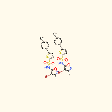 CCc1ccc(-c2ccc(S(=O)(=O)Nc3onc(C)c3Br)s2)cc1.CCc1ccc(-c2ccc(S(=O)(=O)Nc3onc(C)c3Br)s2)cc1